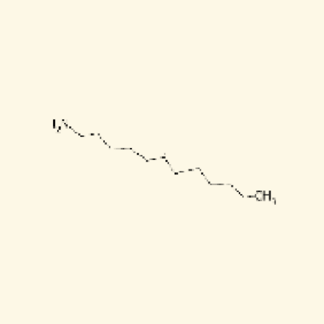 CCCCCC[CH]CCCCCN